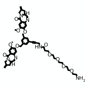 C=C1C[C@H]2C=Nc3cc(OCc4cc(C#CCNC(=O)CCOCCOCCOCCOCCN)cc(COc5cc6c(cc5OC)C(=O)N5CC(=C)C[C@H]5C=N6)c4)c(OC)cc3C(=O)N2C1